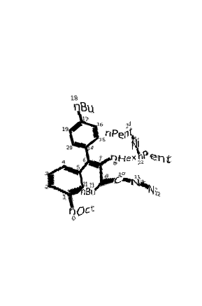 CCCCCCCCc1cccc(C(=C(CCCCCC)C(=C=[N+]=[N-])CCCC)c2ccc(CCCC)cc2)c1.CCCC[CH2][Ni][CH2]CCCC